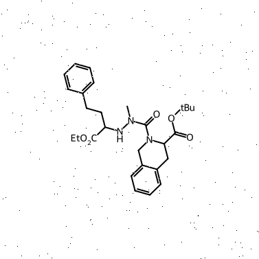 CCOC(=O)C(CCc1ccccc1)NN(C)C(=O)N1Cc2ccccc2CC1C(=O)OC(C)(C)C